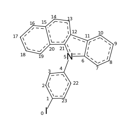 Ic1ccc(-n2c3ccccc3c3ccc4ccccc4c32)cc1